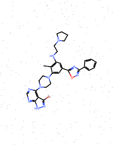 Cc1c(NCCN2CCCC2)cc(-c2nc(-c3ccccc3)no2)cc1N1CCN(c2ncnc3[nH]nc(Br)c23)CC1